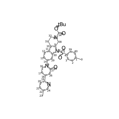 Cc1ccc(S(=O)(=O)n2c3c(c4ccc(-n5ccc(-c6ccc(C)cn6)cc5=O)cc42)CCN(C(=O)OC(C)(C)C)C3)cc1